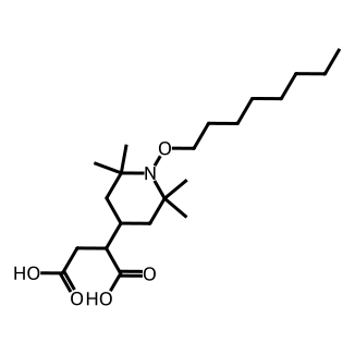 CCCCCCCCON1C(C)(C)CC(C(CC(=O)O)C(=O)O)CC1(C)C